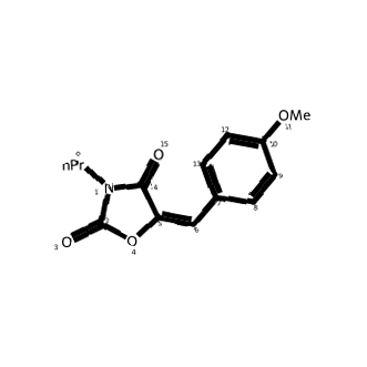 CCCN1C(=O)OC(=Cc2ccc(OC)cc2)C1=O